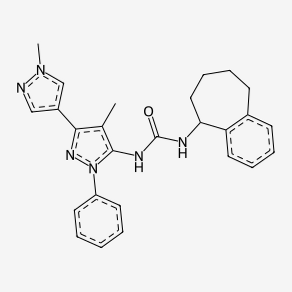 Cc1c(-c2cnn(C)c2)nn(-c2ccccc2)c1NC(=O)NC1CCCCc2ccccc21